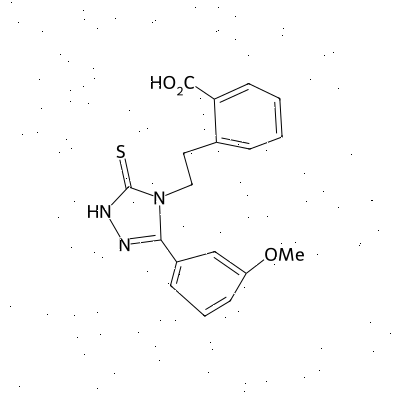 COc1cccc(-c2n[nH]c(=S)n2CCc2ccccc2C(=O)O)c1